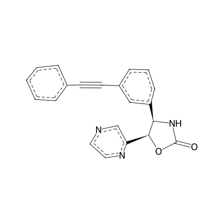 O=C1N[C@H](c2cccc(C#Cc3ccccc3)c2)[C@H](c2cnccn2)O1